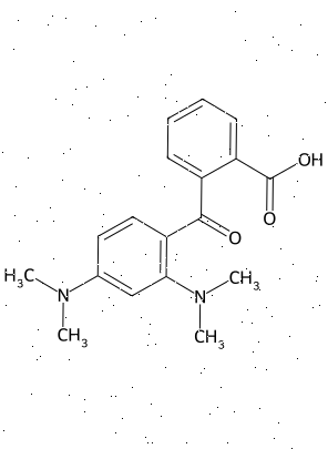 CN(C)c1ccc(C(=O)c2ccccc2C(=O)O)c(N(C)C)c1